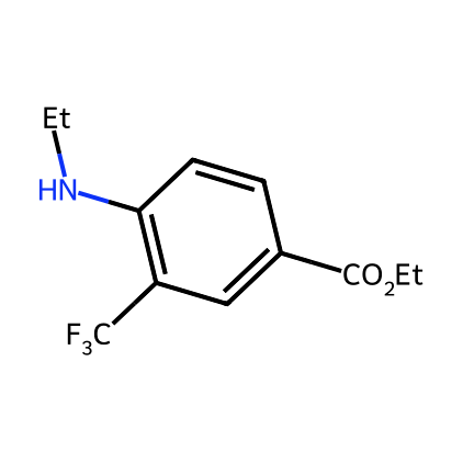 CCNc1ccc(C(=O)OCC)cc1C(F)(F)F